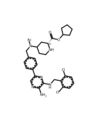 CC(=O)N(Cc1ccc(-c2cnc(N)c(NCc3c(Cl)cccc3Cl)n2)cc1)C1CCN[C@@H](C(=O)OC2CCCC2)C1